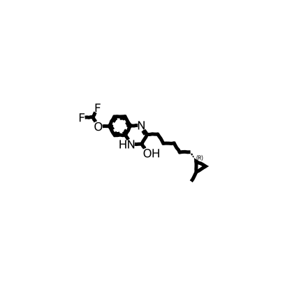 CC1C[C@H]1CCCCCC1=Nc2ccc(OC(F)F)cc2NC1O